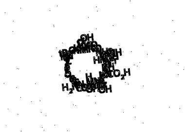 CCC[C@@H]1NC(=O)[C@H](Cc2c[nH]c3c2CCCN3)NC(=O)[C@H]([C@@H](C)O)NC(=O)[C@@H](C)NC[C@H](Cc2ccc(O)cc2)NC(=O)[C@H](C(C)(C)C)NC(=O)CCSCc2cccc(c2)CSC[C@H](C(N)=O)NC(=O)[C@H]([C@@H](C)O)NC(=O)[C@H](CCC)NC(=O)[C@H](Cc2ccc(O)cc2)NC(=O)[C@H](CCC(=O)O)NC1=O